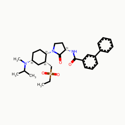 CCS(=O)(=O)C[C@@H]1C[C@H](N(C)C(C)C)CC[C@@H]1N1CC[C@H](NC(=O)c2cccc(-c3ccccc3)c2)C1=O